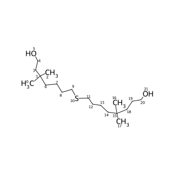 CC(C)(CCO)CCCCSCCCCC(C)(C)CCCO